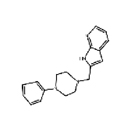 c1ccc(N2CCN(Cc3cc4cccnc4[nH]3)CC2)cc1